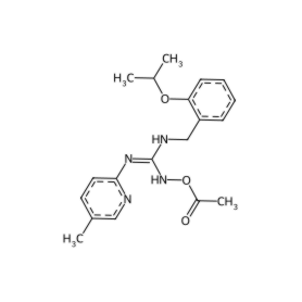 CC(=O)ONC(=Nc1ccc(C)cn1)NCc1ccccc1OC(C)C